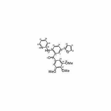 COc1cc(C(=O)c2cc(-c3ccco3)ccc2Nc2ccccn2)cc(OC)c1OC